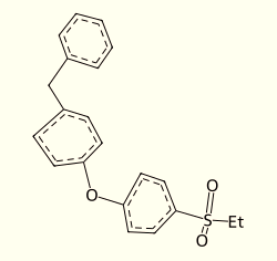 CCS(=O)(=O)c1ccc(Oc2ccc(Cc3ccccc3)cc2)cc1